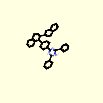 c1ccc(C2=NC(c3ccc(-c4c(-c5ccc6ccccc6c5)ccc5ccccc45)cc3)=NC(c3ccccc3)N2)cc1